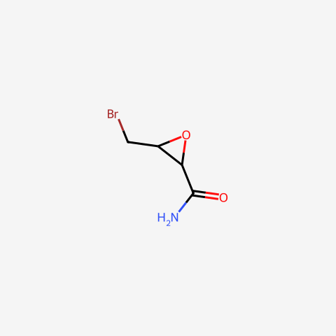 NC(=O)C1OC1CBr